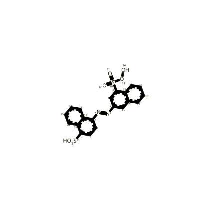 O=S(=O)(O)c1ccc(N=Nc2cc(S(=O)(=O)OO)c3ccccc3c2)c2ccccc12